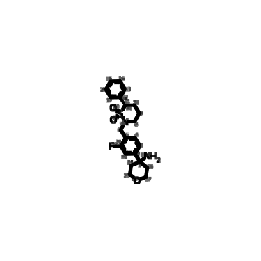 NC1(c2ccc(CN3CCC[C@H](c4ccccc4)S3(=O)=O)c(F)c2)CCOCC1